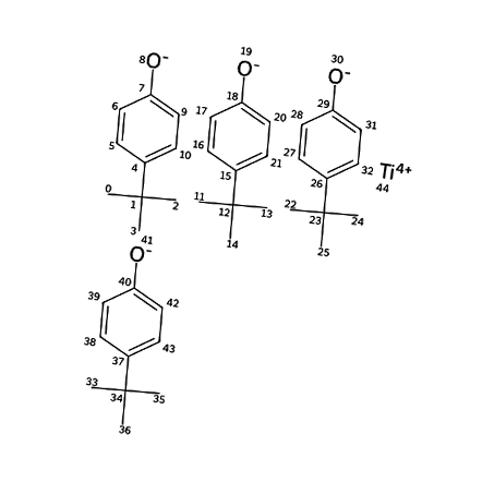 CC(C)(C)c1ccc([O-])cc1.CC(C)(C)c1ccc([O-])cc1.CC(C)(C)c1ccc([O-])cc1.CC(C)(C)c1ccc([O-])cc1.[Ti+4]